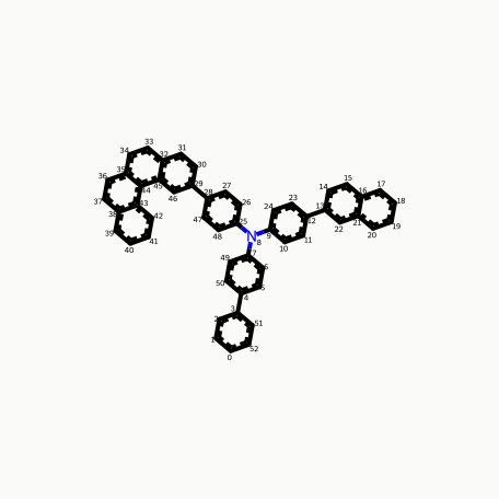 c1ccc(-c2ccc(N(c3ccc(-c4ccc5ccccc5c4)cc3)c3ccc(-c4ccc5ccc6ccc7ccccc7c6c5c4)cc3)cc2)cc1